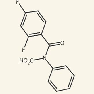 O=C(O)N(C(=O)c1ccc(F)cc1F)c1ccccc1